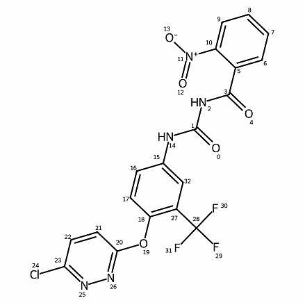 O=C(NC(=O)c1ccccc1[N+](=O)[O-])Nc1ccc(Oc2ccc(Cl)nn2)c(C(F)(F)F)c1